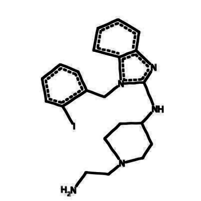 NCCN1CCC(Nc2nc3ccccc3n2Cc2ccccc2I)CC1